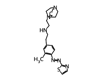 Cc1cc(CCNCC[N+]23CCN(CC2)CC3)ccc1N=Nc1nccs1